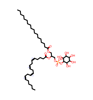 CCCCC/C=C\C/C=C\C/C=C\C/C=C\CCCC(=O)OC(COC(=O)CCCCCCCCCCCCCCCCC)COP(=O)(O)OC1C(O)C(O)C(O)C(O)C1O